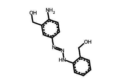 Nc1ccc(/N=N/Nc2ccccc2CO)cc1CO